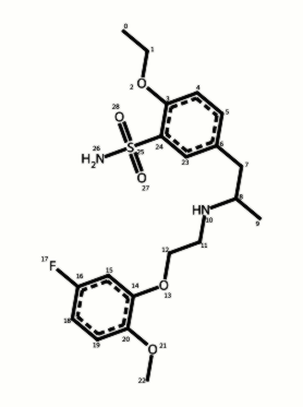 CCOc1ccc(CC(C)NCCOc2cc(F)ccc2OC)cc1S(N)(=O)=O